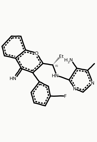 CC[C@H](Nc1ncnc(C)c1N)c1oc2ccccc2c(=N)c1-c1cccc(F)c1